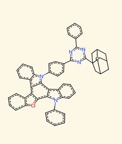 c1ccc(-c2nc(-c3ccc(-n4c5ccccc5c5c6c7ccccc7oc6c6c(c7ccccc7n6-c6ccccc6)c54)cc3)nc(C34CC5CC(CC(C5)C3)C4)n2)cc1